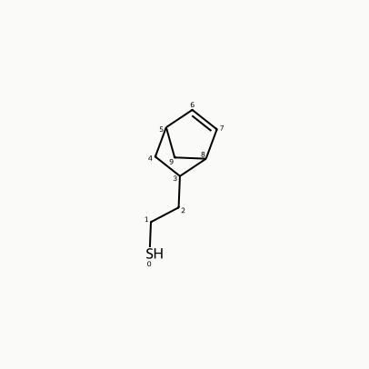 SCCC1CC2C=CC1C2